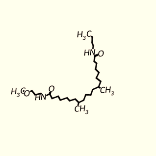 CCCCNC(=O)CCCCCCC(C)CCCCC(C)CCCCCCC(=O)NCCCOC